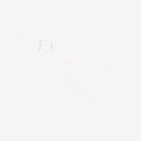 CCCCCCCc1ccc(C#CC(OCCCCCC(=O)O)OCCCCCC(=O)O)cc1